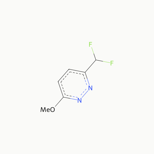 COc1ccc(C(F)F)nn1